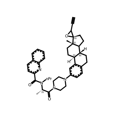 C#CC1O[C@]12CCC1[C@@H]3CCc4ccc(N5CCN(C(=O)[C@H](C)N(CCC)C(=O)c6ccc7ccccc7n6)CC5)cc4[C@H]3CC[C@@]12C